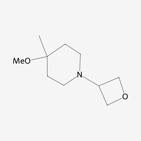 COC1(C)CCN(C2COC2)CC1